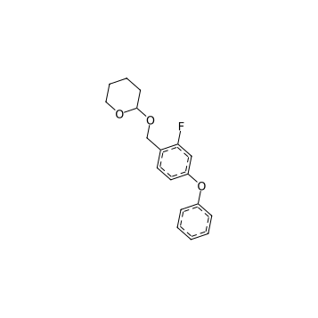 Fc1cc(Oc2ccccc2)ccc1COC1CCCCO1